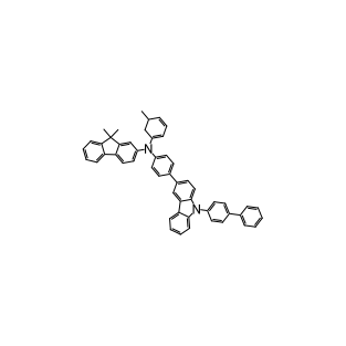 CC1C=CC=C(N(c2ccc(-c3ccc4c(c3)c3ccccc3n4-c3ccc(-c4ccccc4)cc3)cc2)c2ccc3c(c2)C(C)(C)c2ccccc2-3)C1